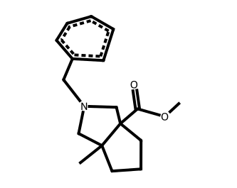 COC(=O)C12CCCC1(C)CN(Cc1ccccc1)C2